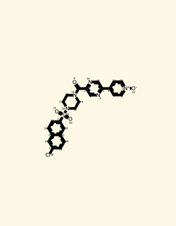 O=C(c1cnc(-c2cc[n+]([O-])cc2)cn1)N1CCN(S(=O)(=O)c2ccc3cc(Cl)ccc3c2)CC1